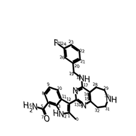 Cc1[nH]c2c(C(N)=O)cccc2c1-c1nc2c(c(NCc3cccc(F)c3)n1)CCNCC2